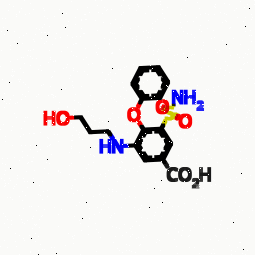 NS(=O)(=O)c1cc(C(=O)O)cc(NCCCO)c1Oc1ccccc1